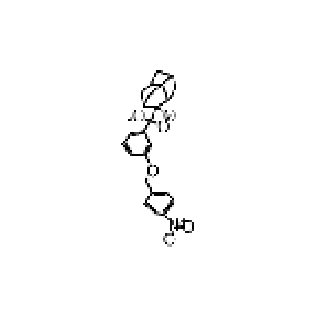 COC1(c2cccc(OCc3ccc([N+](=O)[O-])cc3)c2)OOC12C1CC3CC(C1)CC2C3